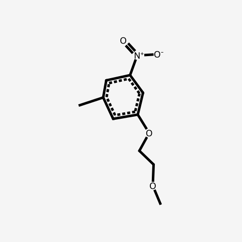 COCCOc1cc(C)cc([N+](=O)[O-])c1